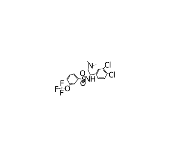 CN(C)CC(NS(=O)(=O)c1cccc(OC(F)(F)F)c1)c1ccc(Cl)c(Cl)c1